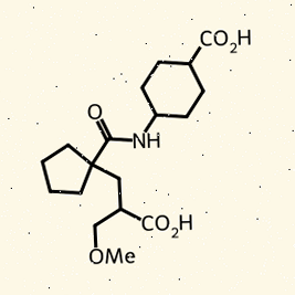 COCC(CC1(C(=O)NC2CCC(C(=O)O)CC2)CCCC1)C(=O)O